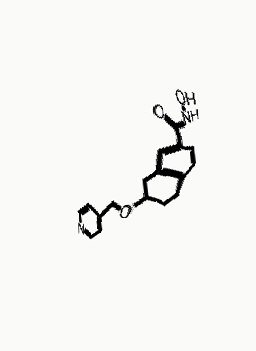 O=C(NO)c1ccc2c(c1)CC(OCc1ccncc1)CC2